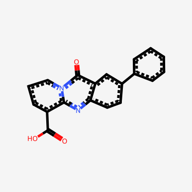 O=C(O)c1cccn2c(=O)c3cc(-c4ccccc4)ccc3nc12